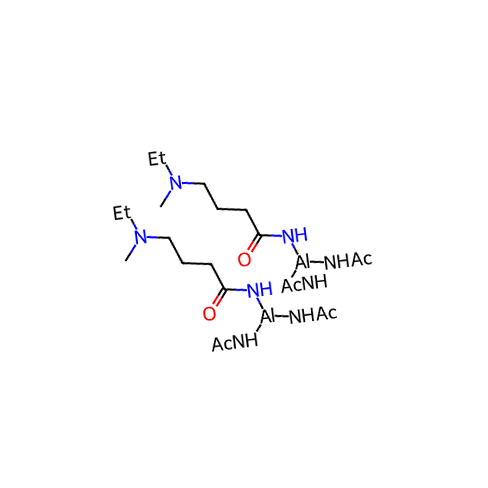 CCN(C)CCCC(=O)[NH][Al]([NH]C(C)=O)[NH]C(C)=O.CCN(C)CCCC(=O)[NH][Al]([NH]C(C)=O)[NH]C(C)=O